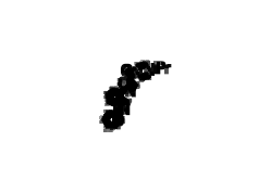 CC(C)N1CCN(C(=O)c2cnc(-c3cccc4c3cnn4C3CCCCO3)o2)CC1